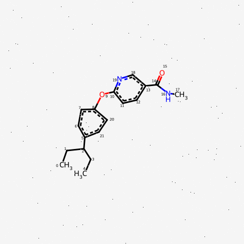 CCC(CC)c1ccc(Oc2ccc(C(=O)NC)cn2)cc1